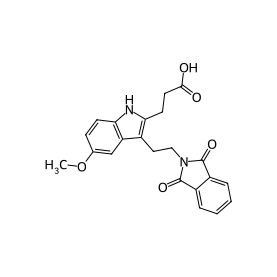 COc1ccc2[nH]c(CCC(=O)O)c(CCN3C(=O)c4ccccc4C3=O)c2c1